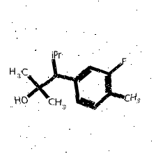 Cc1ccc(C(C(C)C)C(C)(C)O)cc1F